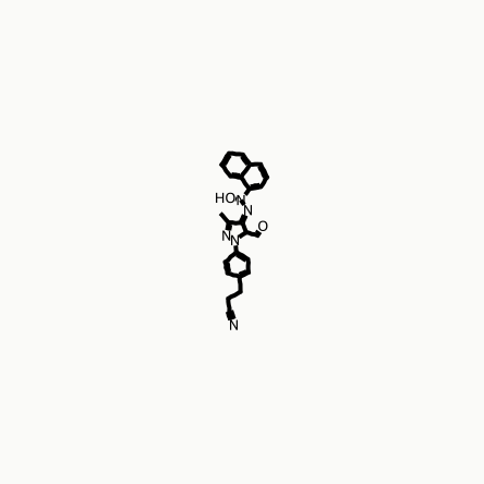 CC1=NN(c2ccc(CCC#N)cc2)C(C=O)C1=NN(O)c1cccc2ccccc12